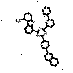 CC1CC=Cc2sc3c(-c4nc(-c5ccc(-c6ccc7ccccc7c6)cc5)nc(-c5cccc(-c6ccccc6)c5)n4)cccc3c21